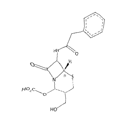 O=C(Cc1ccccc1)NC1C(=O)N2C(OC(=O)O)C(CO)CS[C@@H]12